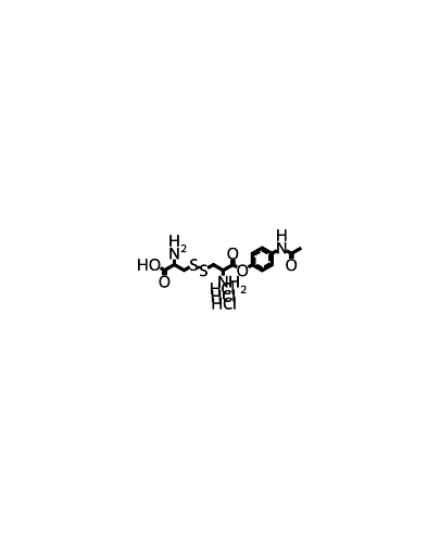 CC(=O)Nc1ccc(OC(=O)C(N)CSSCC(N)C(=O)O)cc1.Cl.Cl.Cl